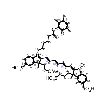 CCN1/C(=C/C=C/C=C/C=C/C2=[N+](CCCCCC(=O)Oc3c(F)c(F)cc(F)c3F)c3ccc(S(=O)(=O)O)cc3C2(C)CCOC)C(C)(CCCS(=O)(=O)O)c2cc(S(=O)(=O)O)ccc21